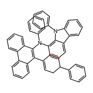 C1=CC(c2ccccc2)CC=C1c1c(N(c2ccccc2)c2cccc3c4ccccc4n(-c4ccccc4)c23)c2ccccc2c2ccccc12